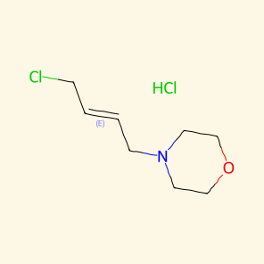 Cl.ClC/C=C/CN1CCOCC1